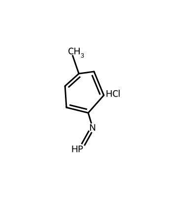 Cc1ccc(N=P)cc1.Cl